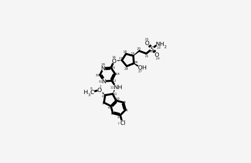 CO[C@H]1Cc2cc(Cl)ccc2[C@H]1Nc1cc(O[C@@H]2C[C@@H](CCS(N)(=O)=O)[C@@H](O)C2)ncn1